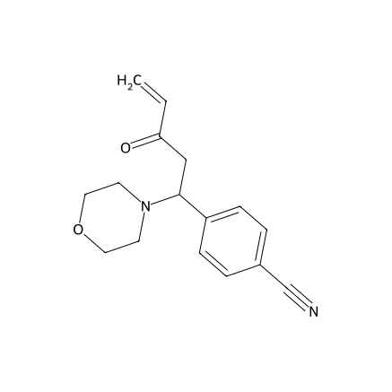 C=CC(=O)CC(c1ccc(C#N)cc1)N1CCOCC1